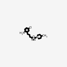 CC1CCN(c2nnc(CCCc3cc(Cl)ccc3N)o2)CC1